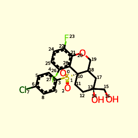 O=S(=O)(c1ccc(Cl)cc1)[C@@]12CC[C@@](O)(CO)CC1COc1c(F)ccc(F)c12